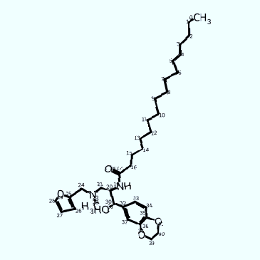 CCCCCCCCCCCCCCCCCC(=O)N[C@H](CN(C)Cc1ccco1)[C@H](O)c1ccc2c(c1)OCCO2